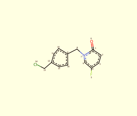 O=c1ccc(F)cn1Cc1ccc(CCl)cc1